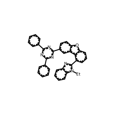 CCn1c(-c2cccc3oc4ccc(-c5nc(-c6ccccc6)nc(-c6ccccc6)n5)cc4c23)nc2ccccc21